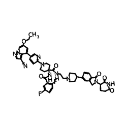 CCOc1cc(-c2ccc(N3CCC(NC(=O)c4cc(F)ccc4F)(C(=O)NCCN4CCC(c5ccc6c(c5)CN(C5CCC(=O)NC5=O)C6=O)CC4)CC3)nc2)c2c(C#N)cnn2c1